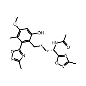 COc1cc(O)c(CSC[C@H](NC(C)=O)c2nc(C)no2)c(-c2nc(C)no2)c1C